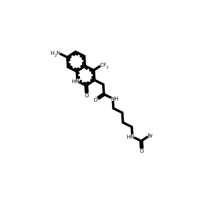 Nc1ccc2c(C(F)(F)F)c(CC(=O)NCCCCNC(=O)Br)c(=O)[nH]c2c1